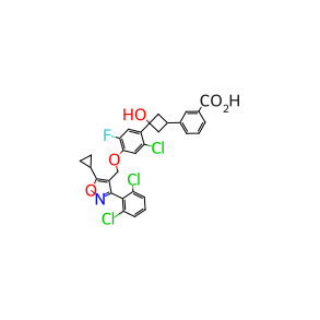 O=C(O)c1cccc(C2CC(O)(c3cc(F)c(OCc4c(-c5c(Cl)cccc5Cl)noc4C4CC4)cc3Cl)C2)c1